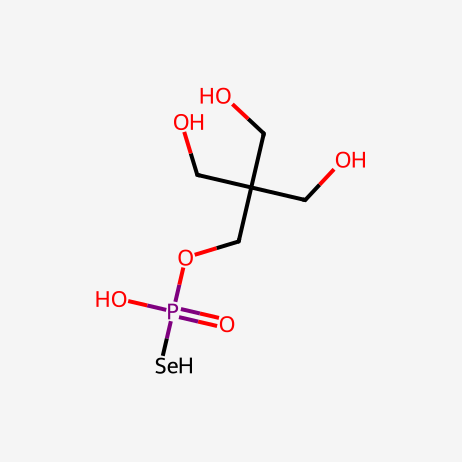 O=P(O)([SeH])OCC(CO)(CO)CO